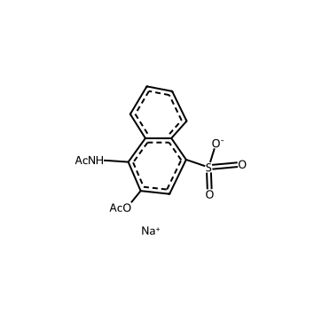 CC(=O)Nc1c(OC(C)=O)cc(S(=O)(=O)[O-])c2ccccc12.[Na+]